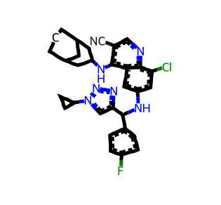 N#Cc1cnc2c(Cl)cc(NC(c3ccc(F)cc3)c3cn(C4CC4)nn3)cc2c1NC1CC2CCCC(C2)C1